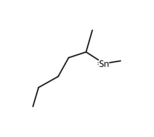 CCCC[CH](C)[Sn][CH3]